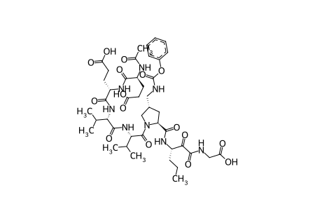 CCC[C@H](NC(=O)[C@@H]1C[C@@H](CNC(=O)Oc2ccccc2)CN1C(=O)[C@@H](NC(=O)[C@@H](NC(=O)[C@H](CCC(=O)O)NC(=O)[C@H](CCC(=O)O)NC(C)=O)C(C)C)C(C)C)C(=O)C(=O)NCC(=O)O